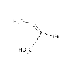 C/C=C(\C(=O)O)C(C)C